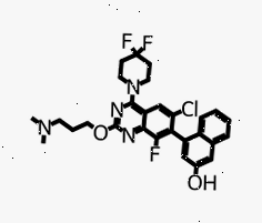 CN(C)CCCOc1nc(N2CCC(F)(F)CC2)c2cc(Cl)c(-c3cc(O)cc4ccccc34)c(F)c2n1